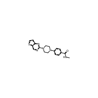 CNC(=O)c1ccc(N2CCN(c3ncc4sccc4n3)CC2)cc1